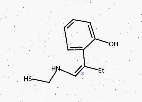 CC/C(=C/NCS)c1ccccc1O